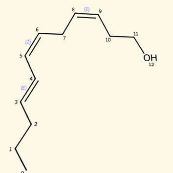 CCC/C=C/C=C\C/C=C\CCO